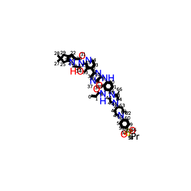 C=CC(=O)Nc1cc(Nc2nc(-c3ccnc(N4CCn5c(cc6c5CC(C)(C)C6)C4=O)c3CO)cn(C)c2=O)ccc1N1CCN(C2CCN(c3ccc(S(=O)(=O)C(C)C)cc3)[C@@H](C)C2)C[C@@H]1C